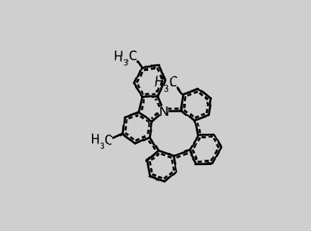 Cc1ccc2c(c1)c1cc(C)cc3c4ccccc4c4ccccc4c4cccc(C)c4n2c31